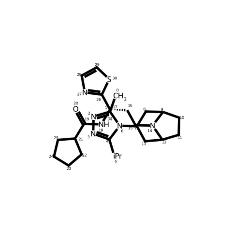 Cc1nnc(C(C)C)n1C1CC2CCC(C1)N2CC[C@H](NC(=O)C1CCCC1)c1nccs1